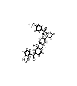 Cc1ccc(S(=O)(=O)N2CCC[C@H]2C(=O)N[C@@H](Cc2ccc(C(=O)c3ccccc3N)cc2)C(=O)O)cc1